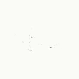 CCn1c(=O)c(C(=O)O)cn(-c2ccc(C3CCC(=O)N3)cc2)c1=O